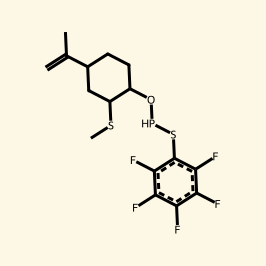 C=C(C)C1CCC(OPSc2c(F)c(F)c(F)c(F)c2F)C(SC)C1